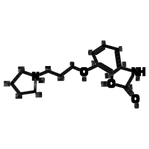 O=c1[nH]c2cccc(OCCCN3CCCC3)c2o1